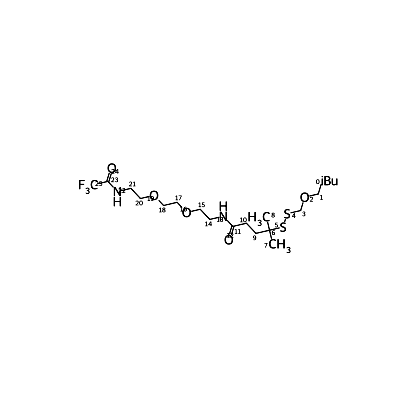 CCC(C)COCSSC(C)(C)CCC(=O)NCCOCCOCCNC(=O)C(F)(F)F